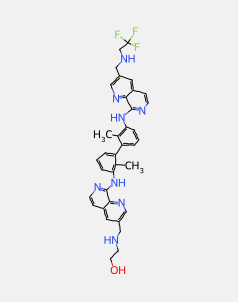 Cc1c(Nc2nccc3cc(CNCCO)cnc23)cccc1-c1cccc(Nc2nccc3cc(CNCC(F)(F)F)cnc23)c1C